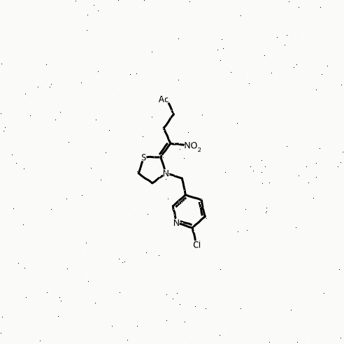 CC(=O)CC/C(=C1\SCCN1Cc1ccc(Cl)nc1)[N+](=O)[O-]